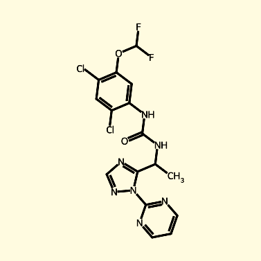 CC(NC(=O)Nc1cc(OC(F)F)c(Cl)cc1Cl)c1ncnn1-c1ncccn1